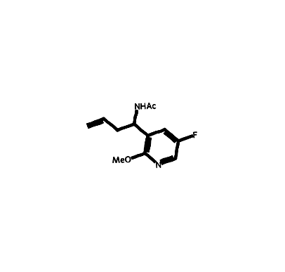 C=CCC(NC(C)=O)c1cc(F)cnc1OC